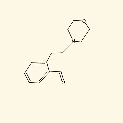 O=Cc1ccccc1CCN1CCOCC1